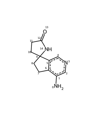 Nc1cncc2c1CCC21CCC(=O)N1